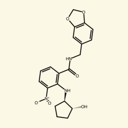 O=C(NCc1ccc2c(c1)OCO2)c1cccc([N+](=O)[O-])c1N[C@@H]1CCC[C@H]1O